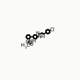 CS(=O)(=O)Nc1ccccc1-c1ccc2[nH]c(C=Cc3ccc(Cl)cc3)nc2c1